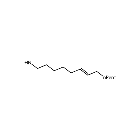 CCCCCC/C=C/CCCCC[NH]